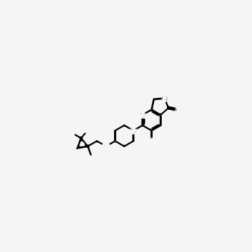 CCc1cc2c(nc1N1CCC(OCC3(C)CC3(F)F)CC1)CNC2=O